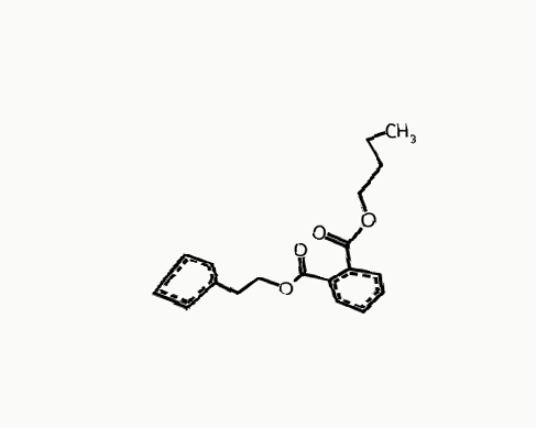 CCCCOC(=O)c1ccccc1C(=O)OCCc1ccccc1